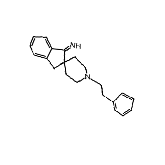 N=C1c2ccccc2CC12CCN(CCc1ccccc1)CC2